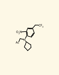 CC(=O)CN(c1ccc(CC(F)(F)F)cc1[N+](=O)[O-])C1CCCC1